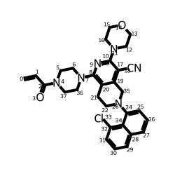 C=CC(=O)N1CCN(c2nc(N3CCOCC3)c(C#N)c3c2CCN(c2cccc4cccc(Cl)c24)C3)CC1